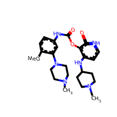 COc1ccc(NC(=O)Oc2c(NC3CCN(C)CC3)cc[nH]c2=O)cc1N1CCN(C)CC1